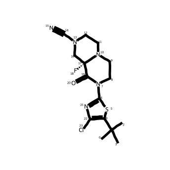 CC(C)(C)c1sc(N2CCN3CCN(C#N)C[C@]3(F)C2=O)nc1Cl